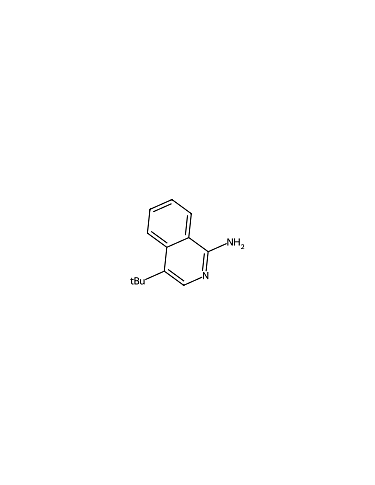 CC(C)(C)c1cnc(N)c2ccccc12